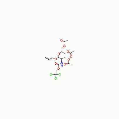 C=CCO[C@@H]1O[C@H](COC(C)=O)[C@H](OC(C)=O)[C@H](OC(C)=O)[C@H]1NC(=O)OCC(Cl)(Cl)Cl